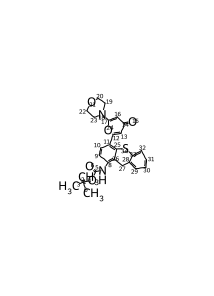 CC(C)(C)OC(=O)Nc1ccc(-c2cc(=O)cc(N3CCOCC3)o2)c2c1Cc1ccccc1S2